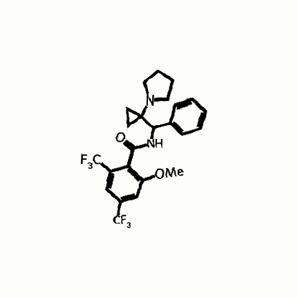 COc1cc(C(F)(F)F)cc(C(F)(F)F)c1C(=O)NC(c1ccccc1)C1(N2CCCC2)CC1